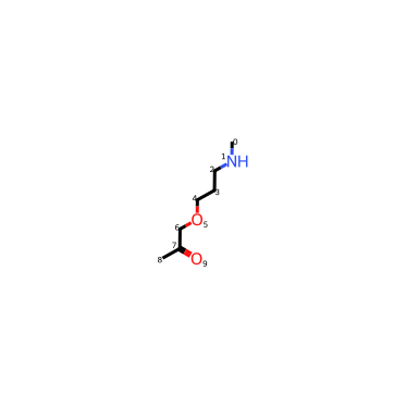 CNCCCOCC(C)=O